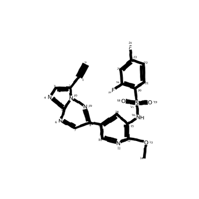 C#Cc1cnc2ncc(-c3cnc(OC)c(NS(=O)(=O)c4ccc(F)cc4F)c3)nn12